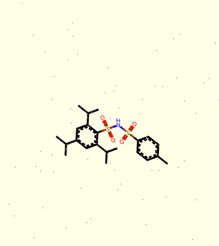 Cc1ccc(S(=O)(=O)NS(=O)(=O)c2c(C(C)C)cc(C(C)C)cc2C(C)C)cc1